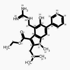 CCOC(=O)c1c(CN(C)C)n(C)c2cc(-c3cccnc3)c(O)c(CNC(=N)N)c12